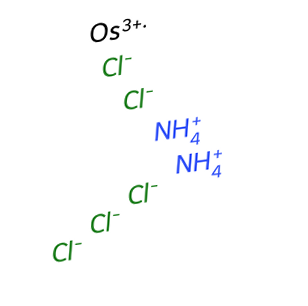 [Cl-].[Cl-].[Cl-].[Cl-].[Cl-].[NH4+].[NH4+].[Os+3]